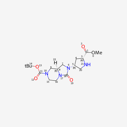 COC(=O)[C@H]1C[C@@H](N2C[C@@H]3CN(C(=O)OC(C)(C)C)CCN3C2=O)CN1